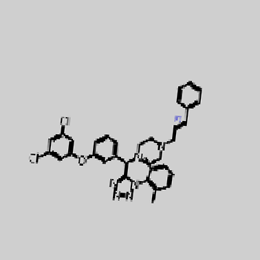 Cc1cccc(C)c1-n1nnnc1C(c1cccc(Oc2cc(Cl)cc(Cl)c2)c1)N1CCN(C/C=C/c2ccccc2)CC1